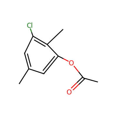 CC(=O)Oc1cc(C)cc(Cl)c1C